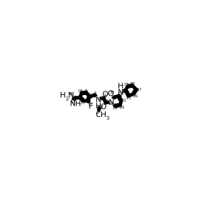 CCO[C@@H](C(=O)NCc1ccc(C(=N)N)cc1F)n1cccc(Nc2ccccc2)c1=O